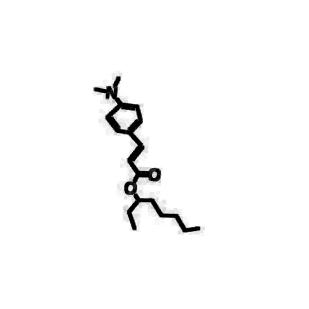 CCCCCC(CC)OC(=O)C=Cc1ccc(N(C)C)cc1